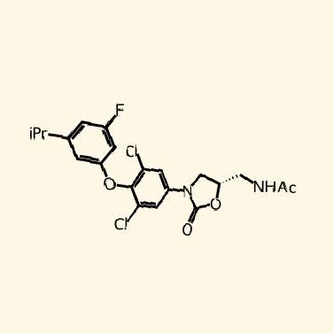 CC(=O)NC[C@H]1CN(c2cc(Cl)c(Oc3cc(F)cc(C(C)C)c3)c(Cl)c2)C(=O)O1